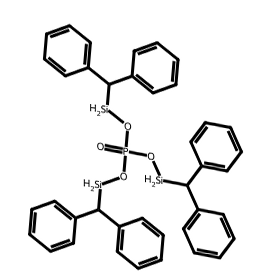 O=P(O[SiH2]C(c1ccccc1)c1ccccc1)(O[SiH2]C(c1ccccc1)c1ccccc1)O[SiH2]C(c1ccccc1)c1ccccc1